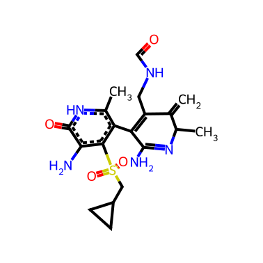 C=C1C(CNC=O)=C(c2c(C)[nH]c(=O)c(N)c2S(=O)(=O)CC2CC2)C(N)=NC1C